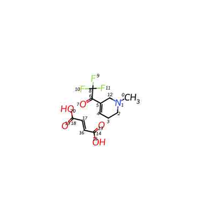 CN1CCC=C(C(=O)C(F)(F)F)C1.O=C(O)/C=C/C(=O)O